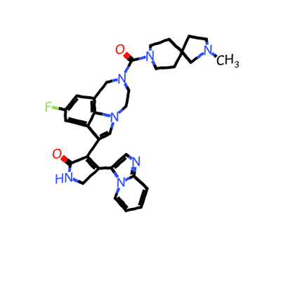 CN1CCC2(CCN(C(=O)N3CCn4cc(C5=C(c6cnc7ccccn67)CNC5=O)c5cc(F)cc(c54)C3)CC2)C1